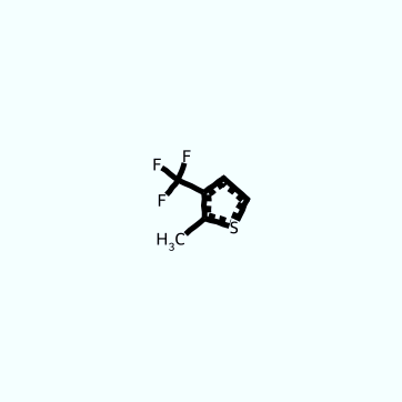 Cc1sccc1C(F)(F)F